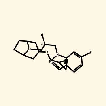 C[C@H](CN1C2CCC1CC(OCC1CC1)C2)Cn1ncc2ccc(F)cc21